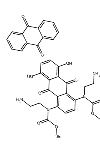 CC(C)(C)OC(=O)N(CCN)c1ccc(N(CCN)C(=O)OC(C)(C)C)c2c1C(=O)c1c(O)ccc(O)c1C2=O.O=C1c2ccccc2C(=O)c2ccccc21